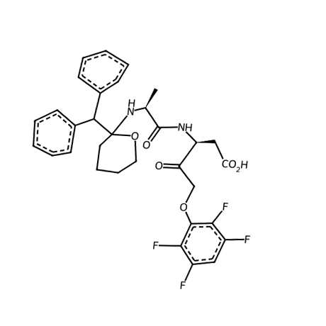 C[C@H](NC1(C(c2ccccc2)c2ccccc2)CCCCO1)C(=O)N[C@@H](CC(=O)O)C(=O)COc1c(F)c(F)cc(F)c1F